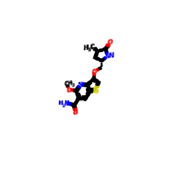 COc1nc2c(OC[C@@H]3CC(C)C(=O)N3)csc2cc1C(N)=O